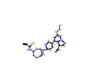 C#CC(=O)NC1CCC2CC(C1)N(c1ccc(-c3cc(OCC)cn4ncc(C#N)c34)cn1)C2